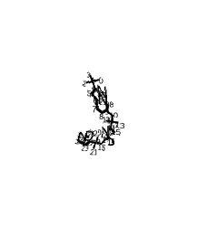 CC(C)(C)c1cc2ccc(CC(C)(C)c3csc(CC(C)(C)c4ccno4)n3)cn2n1